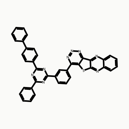 c1ccc(-c2ccc(-c3nc(-c4ccccc4)nc(-c4cccc(-c5nnnc6c5sc5nc7ccccc7nc56)c4)n3)cc2)cc1